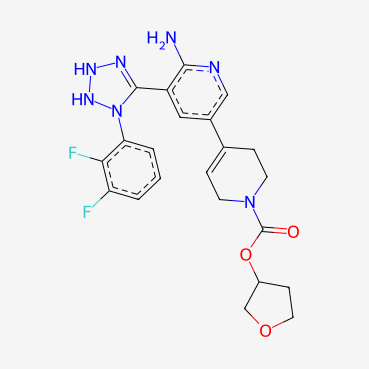 Nc1ncc(C2=CCN(C(=O)OC3CCOC3)CC2)cc1C1=NNNN1c1cccc(F)c1F